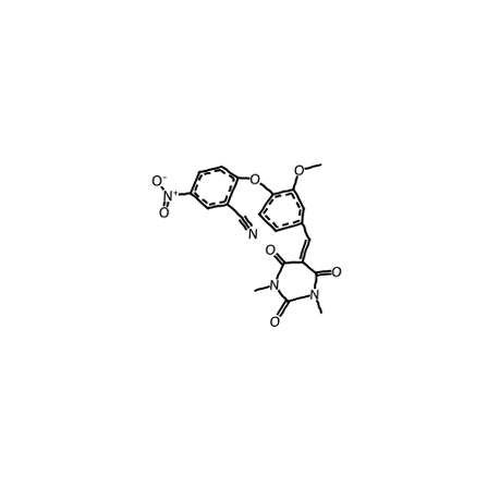 COc1cc(C=C2C(=O)N(C)C(=O)N(C)C2=O)ccc1Oc1ccc([N+](=O)[O-])cc1C#N